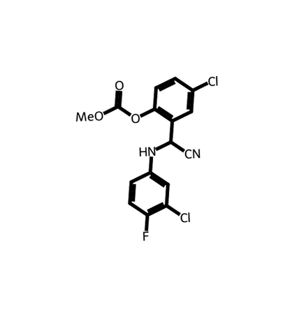 COC(=O)Oc1ccc(Cl)cc1C(C#N)Nc1ccc(F)c(Cl)c1